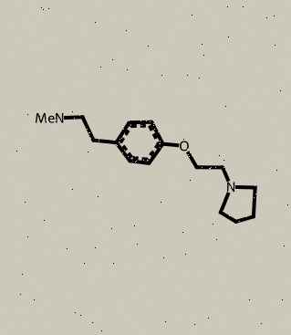 CNCCc1ccc(OCCN2CCCC2)cc1